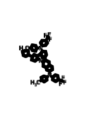 Cc1ccc(N(c2ccc(C(F)(F)F)cc2)c2ccc3cc4c5ccc(N(c6ccc(C)cc6)c6ccc(C(F)(F)F)cc6)c6c7cc(-c8ccccc8)ccc7n(c4cc3c2)c56)cc1